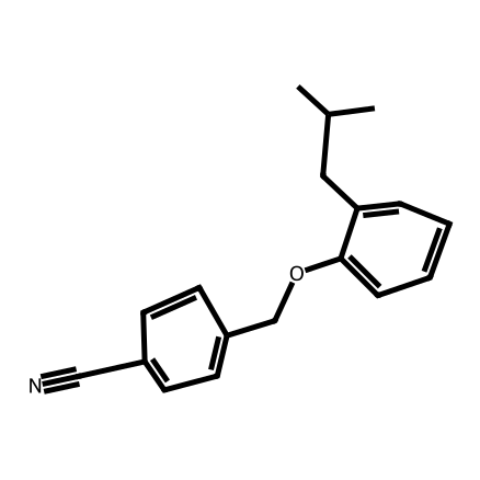 CC(C)Cc1ccccc1OCc1ccc(C#N)cc1